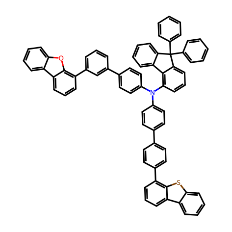 c1ccc(C2(c3ccccc3)c3ccccc3-c3c(N(c4ccc(-c5ccc(-c6cccc7c6sc6ccccc67)cc5)cc4)c4ccc(-c5cccc(-c6cccc7c6oc6ccccc67)c5)cc4)cccc32)cc1